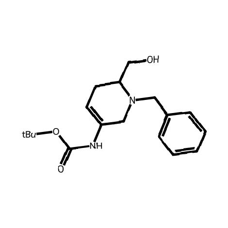 CC(C)(C)OC(=O)NC1=CCC(CO)N(Cc2ccccc2)C1